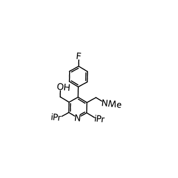 CNCc1c(C(C)C)nc(C(C)C)c(CO)c1-c1ccc(F)cc1